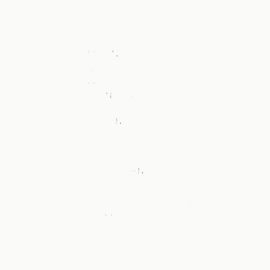 COc1ccccc1Oc1cc(F)ccc1NC(=O)CC(=O)Nc1nc(C(N)S(C)(=O)=O)c(SC)s1